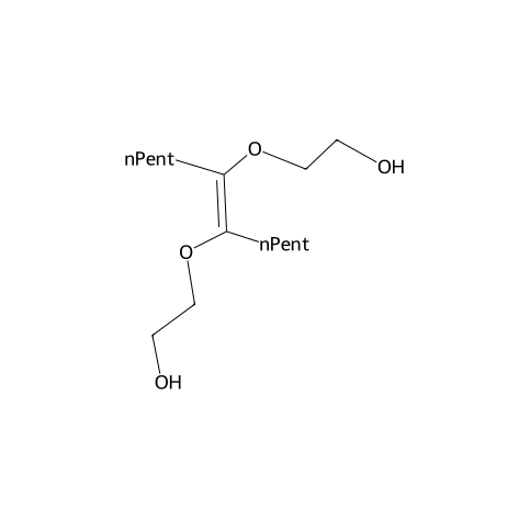 CCCCCC(OCCO)=C(CCCCC)OCCO